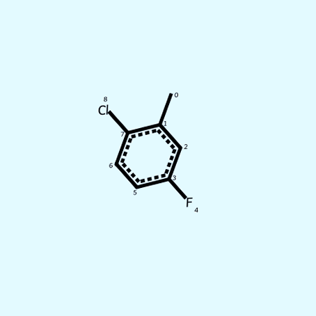 Cc1cc(F)[c]cc1Cl